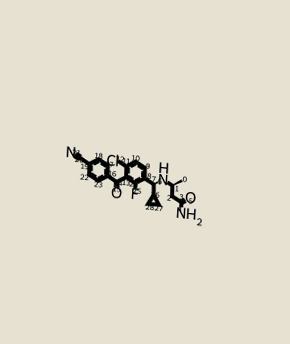 C[C@@H](CC(N)=O)N[C@@H](c1ccc(Cl)c(C(=O)c2ccc(C#N)cc2)c1F)C1CC1